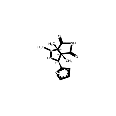 CN1N[C@H](c2cccs2)[C@@]2(C)C(=O)NC(=O)[C@@]12C